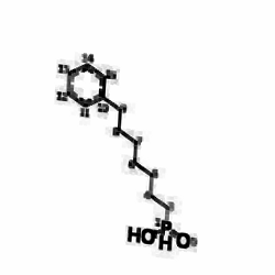 O=[PH](O)CCCCCCCc1ccccc1